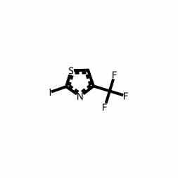 FC(F)(F)c1csc(I)n1